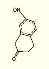 O=Nc1ccc2c(c1)CC(=O)CC2